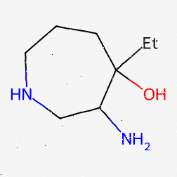 CCC1(O)CCCNCC1N